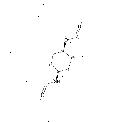 O=CN[C@H]1CC[C@@H](OC=O)CC1